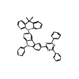 CC1(C)c2ccccc2N(c2ccc3c(c2)c2cc(-c4nc(-c5ccccc5)nc(-c5ccccc5)n4)ccc2n3-c2ccccc2)c2ccccc21